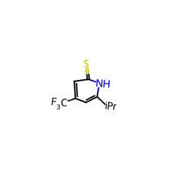 CC(C)c1cc(C(F)(F)F)cc(=S)[nH]1